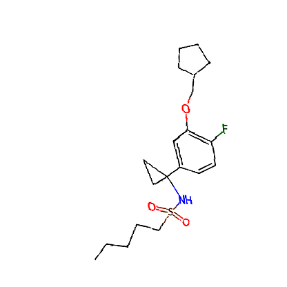 CCCCCS(=O)(=O)NC1(c2ccc(F)c(OCC3CCCC3)c2)CC1